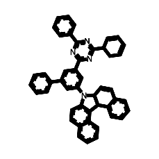 C1=CCC(c2nc(-c3ccccc3)nc(-c3cc(-c4ccccc4)cc(N4c5ccc6ccccc6c5C5c6ccccc6C=CC54)c3)n2)C=C1